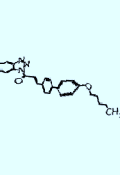 CCCCCOc1ccc(-c2ccc(/C=C/C(=O)n3nnc4ccccc43)cc2)cc1